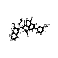 C=CCN(C(=O)Nc1c(C(C)C)cc(-c2cccc(OC)c2)cc1C(C)C)c1cc2cccnc2[nH]c1=O